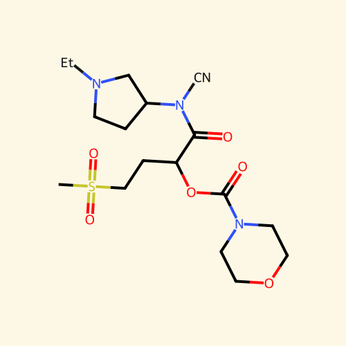 CCN1CCC(N(C#N)C(=O)C(CCS(C)(=O)=O)OC(=O)N2CCOCC2)C1